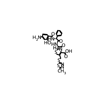 Cc1nnc(SCC2=C(C(=O)O)N3C(=O)C(NC(=O)[C@@H](NC(=O)c4ccc(N)cc4O)c4ccccc4)[C@@H]3SC2)s1